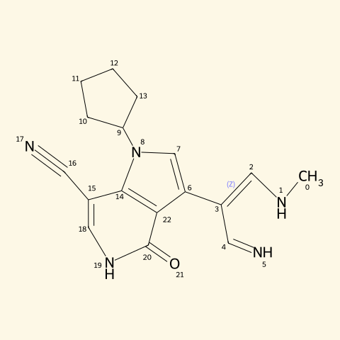 CN/C=C(\C=N)c1cn(C2CCCC2)c2c(C#N)c[nH]c(=O)c12